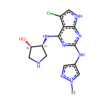 CCn1cc(Nc2nc(N[C@H]3CNC[C@H]3O)c3c(Cl)c[nH]c3n2)cn1